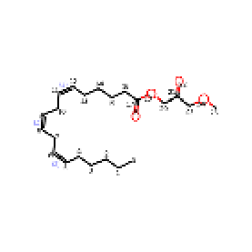 CCCCC/C=C\C/C=C\C/C=C\CCCCC(=O)OCC(=O)COC